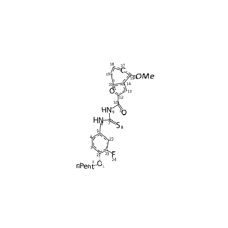 CCCCCOc1ccc(NC(=S)NC(=O)c2cc3c(OC)cccc3o2)cc1F